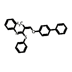 CC(=COc1ccc(-c2ccccc2)cc1)C(=Nc1ccccc1)Sc1ccccc1